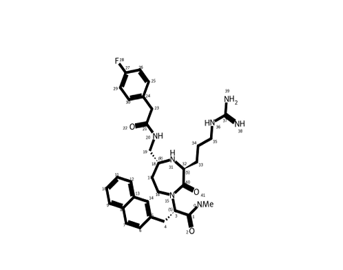 CNC(=O)[C@H](Cc1ccc2ccccc2c1)N1CC[C@H](CNC(=O)Cc2ccc(F)cc2)N[C@@H](CCCNC(=N)N)C1=O